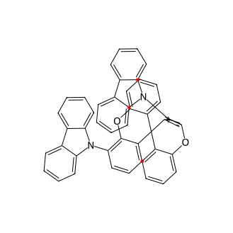 c1ccc2c(c1)Oc1cccc(-n3c4ccccc4c4ccccc43)c1C21c2ccccc2Oc2c(-n3c4ccccc4c4ccccc43)cccc21